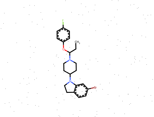 CCC(Oc1ccc(F)cc1)N1CCC(N2CCc3ccc(Br)cc32)CC1